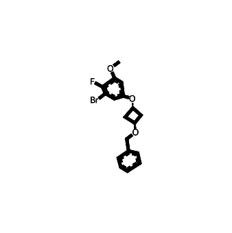 COc1cc(O[C@H]2C[C@H](OCc3ccccc3)C2)cc(Br)c1F